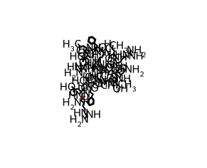 CCC(C)C(NC(=O)C(CC(N)=O)NC(=O)C(NC(=O)C(C)NC(=O)C(CCCCN)NC(=O)C(NC(=O)C(Cc1ccccc1)NC(=O)C(CC(=O)O)NC(=O)C(N)CCCNC(=N)N)C(C)O)C(C)O)C(=O)NC(CCCNC(=N)N)C(=O)NC(CC(C)C)C(=O)NC(CCCNC(=N)N)C(=O)NC(Cc1ccccc1)C(=O)NC(CC(C)C)C(=O)NC(CCCNC(=N)N)C(=O)O